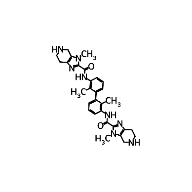 Cc1c(NC(=O)c2nc3c(n2C)CNCC3)cccc1-c1cccc(NC(=O)c2nc3c(n2C)CNCC3)c1C